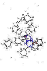 CC1(C)Cc2ccccc2-c2ccc(-c3nc(-c4ccccc4)nc(-c4ccccc4)n3)cc2-c2c(-c3nc(-c4ccccc4)nc(-c4ccc(-c5ccccc5)cc4)n3)cccc2-c2ccccc21